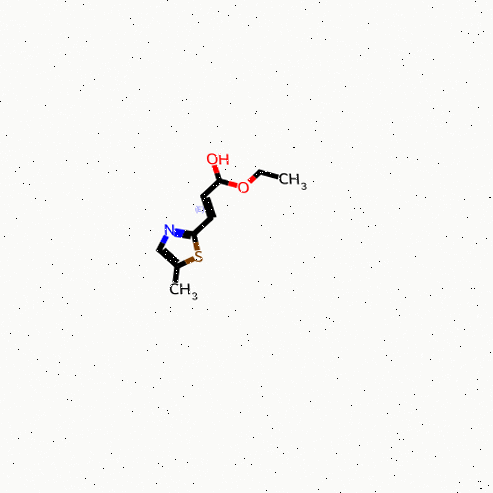 CCOC(O)/C=C/c1ncc(C)s1